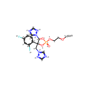 CCCCCCCCCOCCOP(=O)(O)OC(Cn1cncn1)(Cn1cncn1)c1ccc(F)cc1F